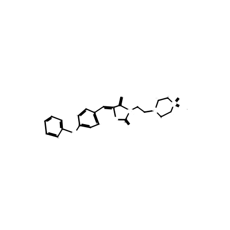 O=C1C(=Cc2ccc(Oc3ccccc3)cc2)SC(=S)N1CCN1CCS(=O)(=O)CC1